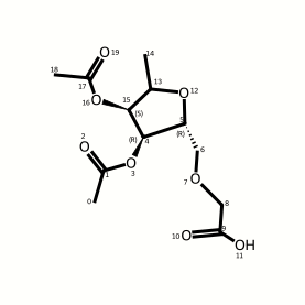 CC(=O)O[C@@H]1[C@@H](COCC(=O)O)OC(C)[C@@H]1OC(C)=O